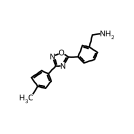 Cc1ccc(-c2noc(-c3cccc(CN)c3)n2)cc1